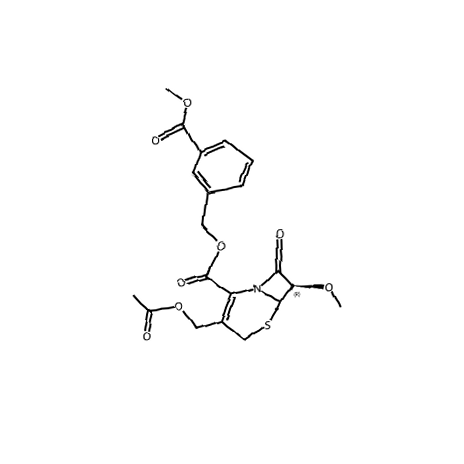 COC(=O)c1cccc(COC(=O)C2=C(COC(C)=O)CSC3[C@H](OC)C(=O)N23)c1